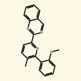 COc1ccccc1-c1nc(-c2ncc3ccccc3n2)ccc1C